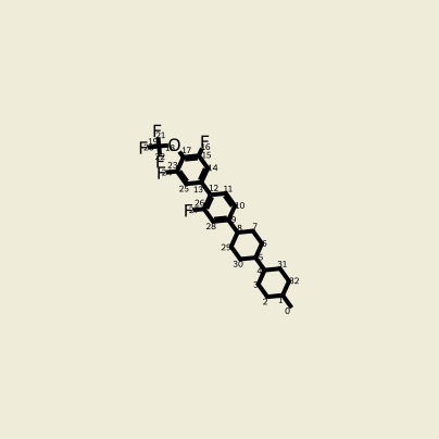 CC1CCC(C2CCC(c3ccc(-c4cc(F)c(OC(F)(F)F)c(F)c4)c(F)c3)CC2)CC1